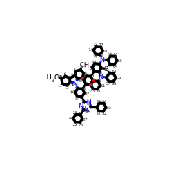 Cc1ccc2c(c1)c1cc(C)ccc1n2-c1ccc(-c2nc(-c3ccccc3)nc(-c3ccccc3)n2)cc1-c1ccc(-c2ccc3c4c2N(c2ccccc2)c2ccccc2B4c2ccccc2N3c2ccccc2)cc1